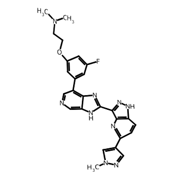 CN(C)CCOc1cc(F)cc(-c2cncc3[nH]c(-c4n[nH]c5ccc(-c6cnn(C)c6)nc45)nc23)c1